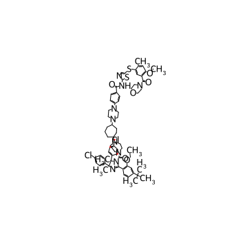 CCOc1cc(C(C)(C)C)ccc1C1=N[C@@](C)(c2ccc(Cl)cc2)[C@@](C)(c2ccc(Cl)cc2)N1C(=O)N1CCN(C2CCCC(N3CCN(c4ccc(C(=O)Nc5ncc(Sc6cc(C(=O)N7CCOCC7)c(OC)cc6C)s5)cc4)CC3)CC2)CC1